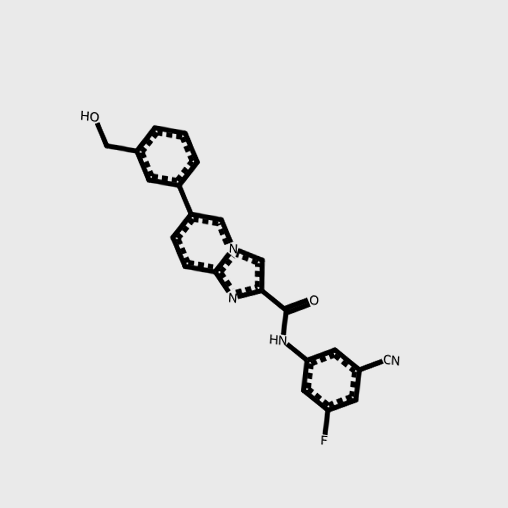 N#Cc1cc(F)cc(NC(=O)c2cn3cc(-c4cccc(CO)c4)ccc3n2)c1